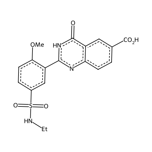 CCNS(=O)(=O)c1ccc(OC)c(-c2nc3ccc(C(=O)O)cc3c(=O)[nH]2)c1